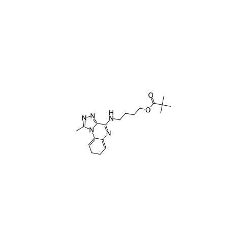 Cc1nnc2c(NCCCCOC(=O)C(C)(C)C)nc3c(n12)=CCCC=3